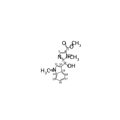 COC(=O)c1cnc(C(O)c2cn(C)c3ccccc23)n1C